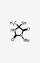 CC1(S)NC(=O)N(C(C)(C)C)C1=O